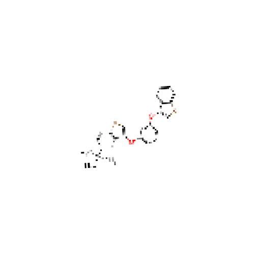 CC(C)(C)c1ccc2scc(Oc3cccc(Oc4csc5ccccc45)c3)c2c1